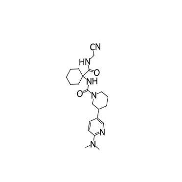 CN(C)c1ccc(C2CCCN(C(=O)NC3(C(=O)NCC#N)CCCCC3)C2)cn1